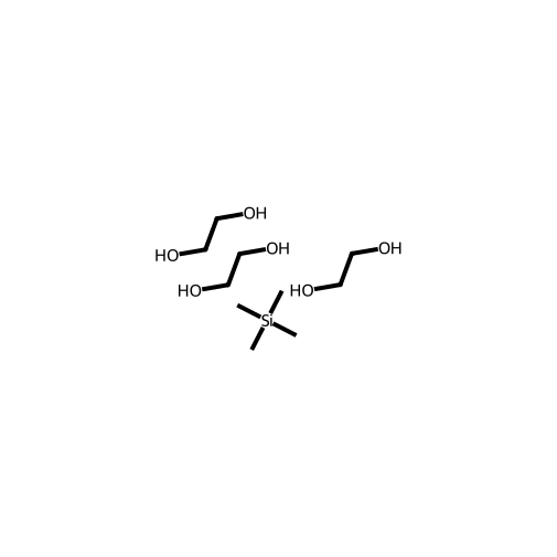 C[Si](C)(C)C.OCCO.OCCO.OCCO